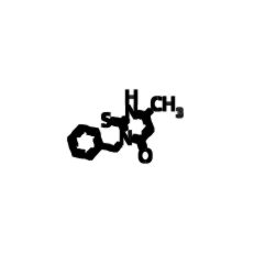 Cc1cc(=O)n(Cc2ccccc2)c(=S)[nH]1